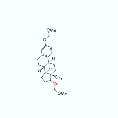 COCOc1ccc2c(c1)CC[C@@H]1[C@@H]2CC[C@]2(C)C(OCOC)CC[C@@H]12